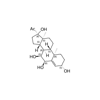 CC(=O)[C@@]1(O)CC[C@H]2[C@@H]3[C@H](O)[C@H](O)C4=C[C@@H](O)CC[C@]4(C)[C@H]3CC[C@@]21C